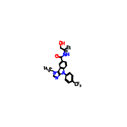 CC[C@H](CO)NC(=O)c1ccc2c(c1)c1c(ncn1C)n2-c1ccc(C(F)(F)F)cc1